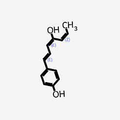 C\C=C/C(O)=C\C=C\c1ccc(O)cc1